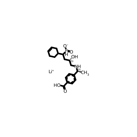 C[C@H](NC[C@@H](O)CC(C1CC=CCC1)[PH](=O)[O-])c1ccc(C(=O)O)cc1.[Li+]